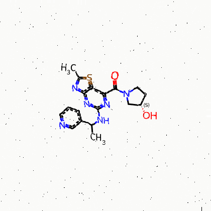 Cc1nc2nc(NC(C)c3cccnc3)nc(C(=O)N3CC[C@H](O)C3)c2s1